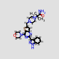 CC(C)(C(N)=O)N1CCN(Cc2cc3nc(-c4n[nH]c5ccccc45)nc(N4CCOCC4)c3s2)CC1